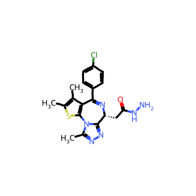 Cc1sc2c(c1C)C(c1ccc(Cl)cc1)=N[C@H](CC(=O)NN)c1nnc(C)n1-2